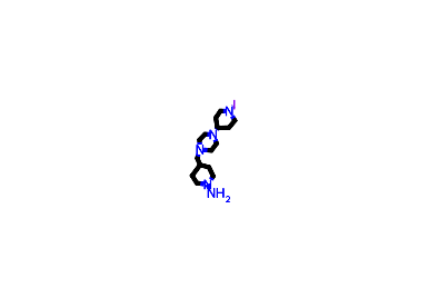 NN1CCC(CN2CCN(C3CCN(I)CC3)CC2)CC1